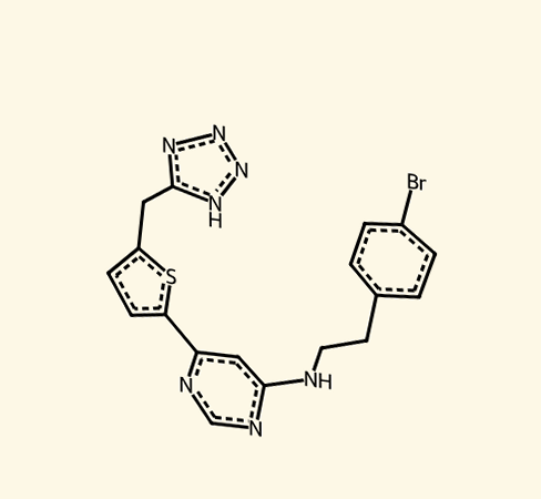 Brc1ccc(CCNc2cc(-c3ccc(Cc4nnn[nH]4)s3)ncn2)cc1